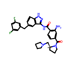 Nc1cc(C(=O)N2CCC[C@H]2CN2CCCC2)ccc1C(=O)Nc1n[nH]c2ccc(Cc3cc(F)cc(F)c3)cc12